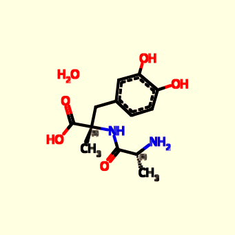 C[C@@H](N)C(=O)N[C@@](C)(Cc1ccc(O)c(O)c1)C(=O)O.O